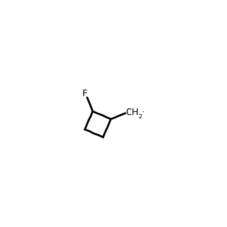 [CH2]C1CCC1F